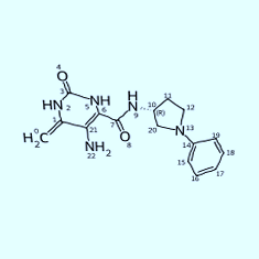 C=C1NC(=O)NC(C(=O)N[C@@H]2CCN(c3ccccc3)C2)=C1N